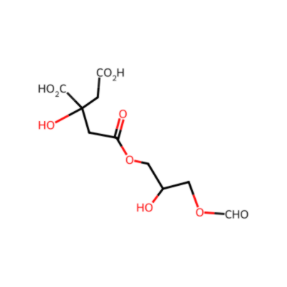 O=COCC(O)COC(=O)CC(O)(CC(=O)O)C(=O)O